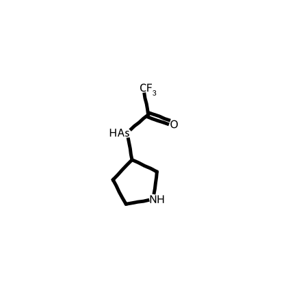 O=C([AsH]C1CCNC1)C(F)(F)F